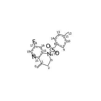 C=C1CCN(S(=O)(=O)c2ccc(C)cc2)c2cc(F)cnc21